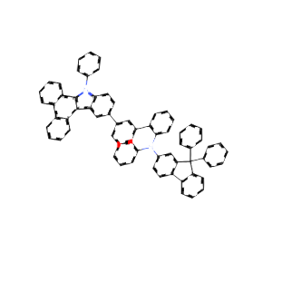 c1ccc(N(c2ccc3c(c2)C(c2ccccc2)(c2ccccc2)c2ccccc2-3)c2ccccc2-c2cccc(-c3ccc4c(c3)c3c5ccccc5c5ccccc5c3n4-c3ccccc3)c2)cc1